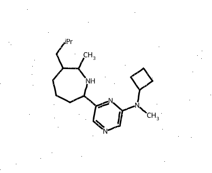 CC(C)CC1CCCC(c2cncc(N(C)C3CCC3)n2)NC1C